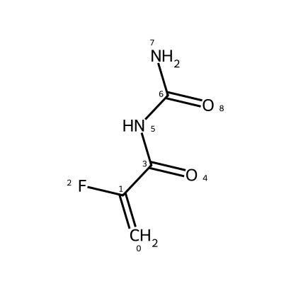 C=C(F)C(=O)NC(N)=O